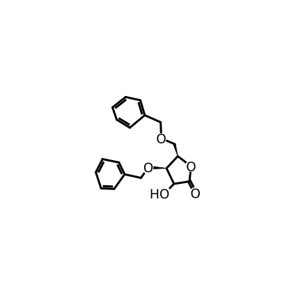 O=C1O[C@H](COCc2ccccc2)[C@H](OCc2ccccc2)C1O